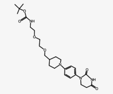 CC(C)(C)OC(=O)NCCOCCOCC1CCN(c2ccc(N3CCC(=O)NC3=O)cc2)CC1